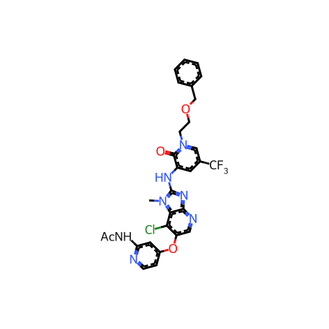 CC(=O)Nc1cc(Oc2cnc3nc(Nc4cc(C(F)(F)F)cn(CCOCc5ccccc5)c4=O)n(C)c3c2Cl)ccn1